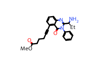 CC[C@H](N)c1nc2cccc(C#CCCCC(=O)OC)c2c(=O)n1-c1ccccc1